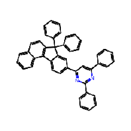 c1ccc(-c2cc(-c3ccc4c(c3)C(c3ccccc3)(c3ccccc3)c3ccc5ccccc5c3-4)nc(-c3ccccc3)n2)cc1